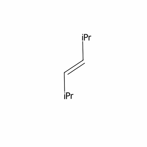 CC(C)C=CC(C)C